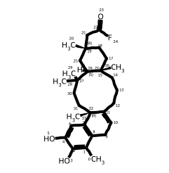 Cc1c(O)c(O)cc2c1CC=C1CCC[C@@]3(C)CC[C@@](C)(CC(=O)F)C[C@H]3C(C)(C)CC[C@]12C